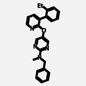 CCc1ccccc1-c1cccnc1Oc1cnc(N(C)Cc2ccccc2)nc1